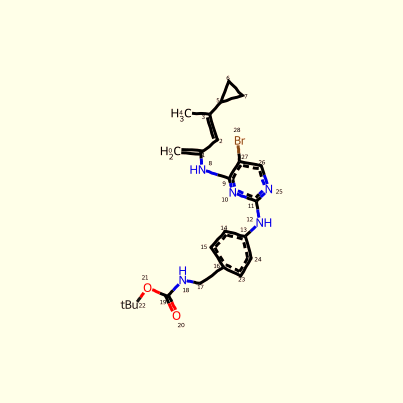 C=C(/C=C(\C)C1CC1)Nc1nc(Nc2ccc(CNC(=O)OC(C)(C)C)cc2)ncc1Br